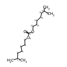 CC(C)CCCCCOC(=O)OCCCCCC(C)C